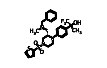 CN(Cc1ccccc1)C[C@H]1CN(S(=O)(=O)c2cccs2)CCN1c1ccc([C@@](C)(O)C(F)(F)F)cc1